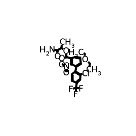 CC(OC(=O)c1cccc(-c2ccc(C(F)(F)F)cc2Cl)c1[N+](=O)[O-])C(N)=O.CCOCC